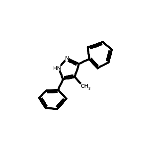 Cc1c(-c2ccccc2)n[nH]c1-c1ccccc1